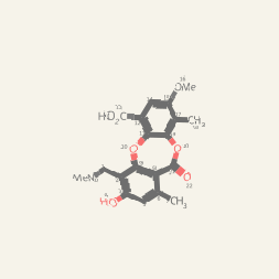 CNCc1c(O)cc(C)c2c1Oc1c(C(=O)O)cc(OC)c(C)c1OC2=O